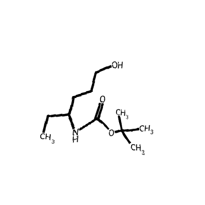 CCC(CCCO)NC(=O)OC(C)(C)C